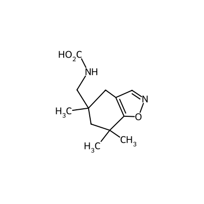 CC1(CNC(=O)O)Cc2cnoc2C(C)(C)C1